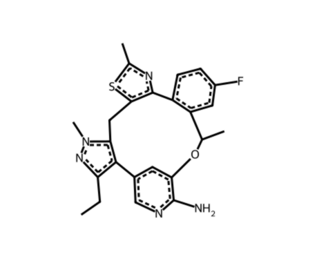 CCc1nn(C)c2c1-c1cnc(N)c(c1)OC(C)c1cc(F)ccc1-c1nc(C)sc1C2